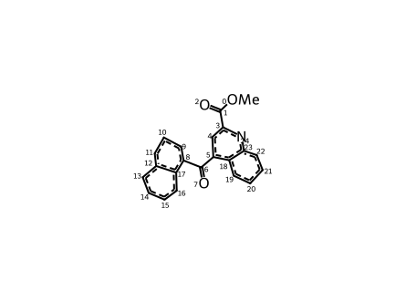 COC(=O)c1cc(C(=O)c2cccc3ccccc23)c2ccccc2n1